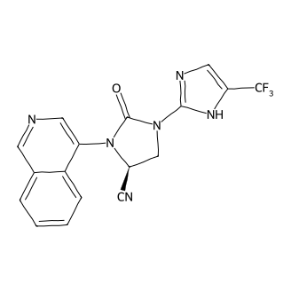 N#C[C@@H]1CN(c2ncc(C(F)(F)F)[nH]2)C(=O)N1c1cncc2ccccc12